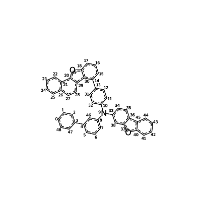 c1ccc(-c2cccc(N(c3ccc(-c4cccc5oc6c7ccccc7ccc6c45)cc3)c3ccc4c(c3)oc3ccccc34)c2)cc1